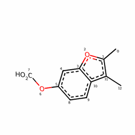 Cc1oc2cc(OC(=O)O)ccc2c1C